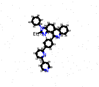 CCc1nc2c3c(-c4ccc(-c5cccc(-c6ccncc6)n5)cc4)nc4ccccc4c3ccc2n1-c1ccccc1